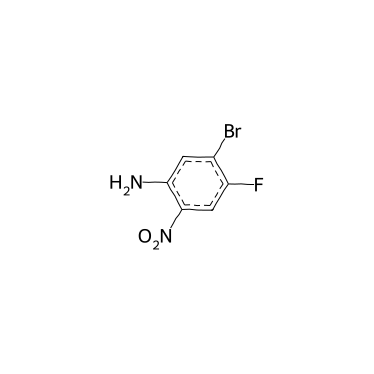 Nc1cc(Br)c(F)cc1[N+](=O)[O-]